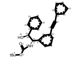 CC(C)(C)OC(=O)N[C@@H](c1cccc(C#Cc2ccccc2)c1)[C@@H](O)c1ccccc1